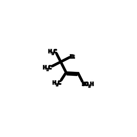 CCC(C)(C)C(C)=CS(=O)(=O)O